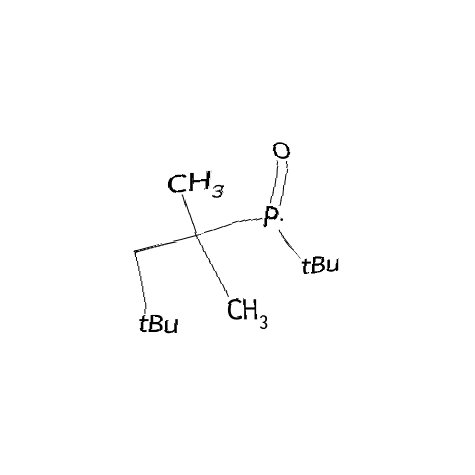 CC(C)(C)CC(C)(C)[P](=O)C(C)(C)C